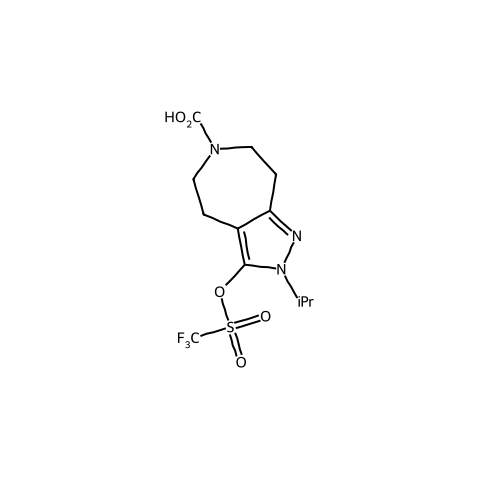 CC(C)n1nc2c(c1OS(=O)(=O)C(F)(F)F)CCN(C(=O)O)CC2